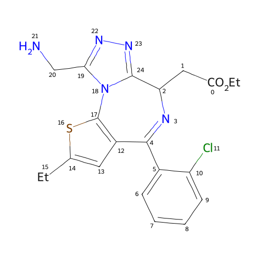 CCOC(=O)CC1N=C(c2ccccc2Cl)c2cc(CC)sc2-n2c(CN)nnc21